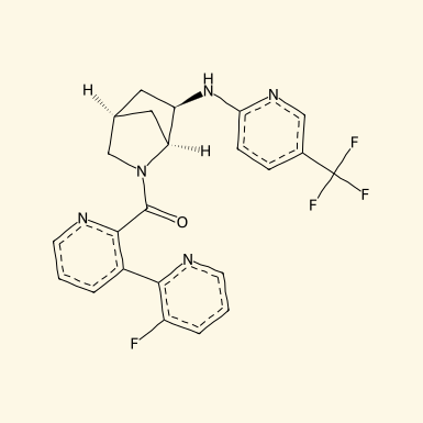 O=C(c1ncccc1-c1ncccc1F)N1C[C@H]2C[C@@H](Nc3ccc(C(F)(F)F)cn3)[C@@H]1C2